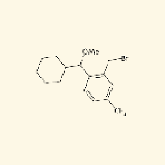 COC(c1ccc(C(F)(F)F)cc1CBr)C1CCCCC1